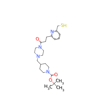 CC(C)(C)OC(=O)N1CCC(CN2CCN(C(=O)CCc3cccc(CS)n3)CC2)CC1